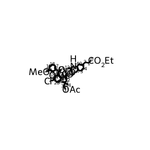 CCOC(=O)CCc1ccc(C)c(NC(=O)C[C@H]2O[C@H](c3cccc(OC)c3OC)c3cc(Cl)ccc3N(CC(C)(C)COC(C)=O)C2=O)c1